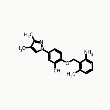 Cc1cc(-n2cc(C)c(C)n2)ccc1OCc1c(C)cccc1N